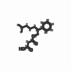 CC(C)CCCC(COC(=O)CC(=O)O)c1ccccc1